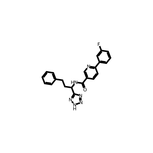 O=C(NC(CCc1ccccc1)c1nn[nH]n1)c1ccc(-c2cccc(F)c2)nc1